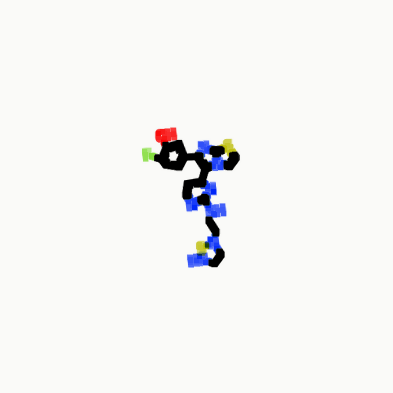 Oc1cc(-c2nc3sccn3c2-c2ccnc(NCCN3CCNS3)n2)ccc1F